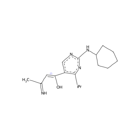 CC(=N)/C=C(\O)c1cnc(NC2CCCCC2)nc1C(C)C